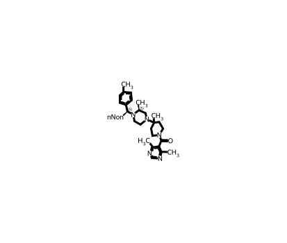 CCCCCCCCC[C@@H](c1ccc(C)cc1)N1CCN(C2(C)CCN(C(=O)c3c(C)ncnc3C)CC2)C[C@@H]1C